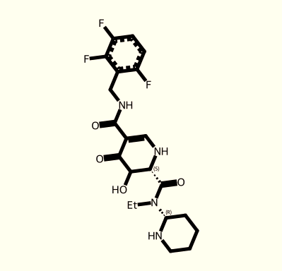 CCN(C(=O)[C@H]1NC=C(C(=O)NCc2c(F)ccc(F)c2F)C(=O)C1O)[C@@H]1CCCCN1